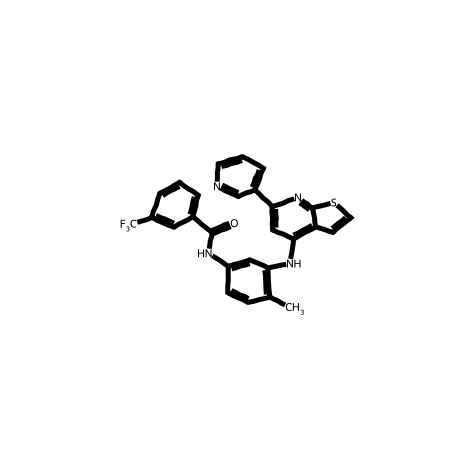 Cc1ccc(NC(=O)c2cccc(C(F)(F)F)c2)cc1Nc1cc(-c2cccnc2)nc2sccc12